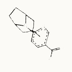 CC1CC2CCC(C1)N2c1ccc(C(=O)C(F)(F)F)cn1